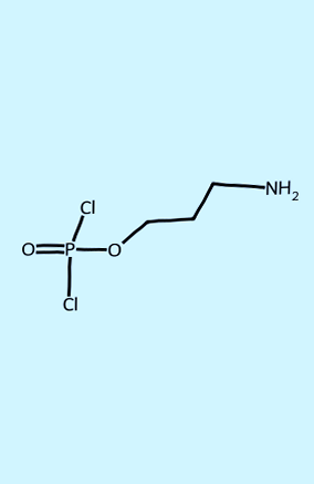 NCCCOP(=O)(Cl)Cl